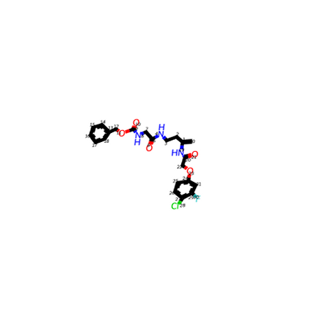 C=C(CCNC(=O)CNC(=O)OCc1ccccc1)NC(=O)COc1ccc(Cl)c(F)c1